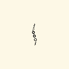 CC=CCCOCc1ccc(-c2ccc([C@H]3CC[C@H](CC=CC)CC3)cc2)cc1